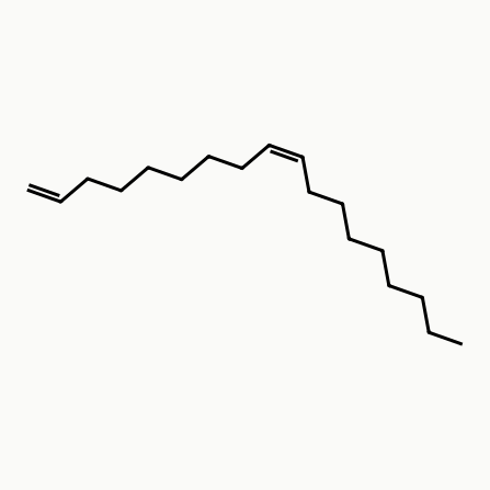 C=CCCCCCC/C=C\CCCCCCCC